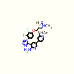 CC(=O)Nc1cc(-c2cnc(N)c(-c3nnnn3-c3ccc(OCCCN(C)C)c(F)c3F)c2)ccn1